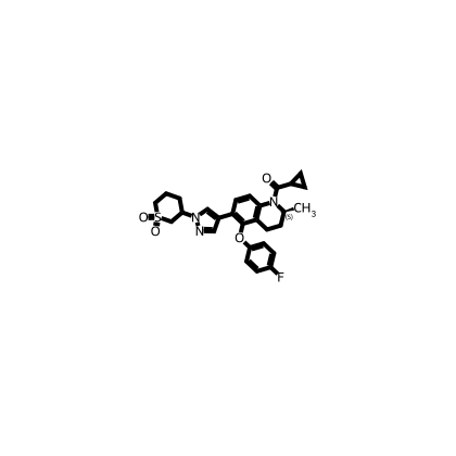 C[C@H]1CCc2c(ccc(-c3cnn(C4CCCS(=O)(=O)C4)c3)c2Oc2ccc(F)cc2)N1C(=O)C1CC1